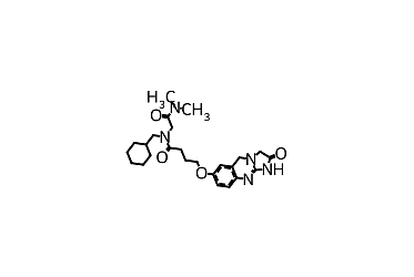 CN(C)C(=O)CN(CC1CCCCC1)C(=O)CCCOc1ccc2c(c1)CN1CC(=O)NC1=N2